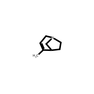 CC1=CCN2CCC1C2